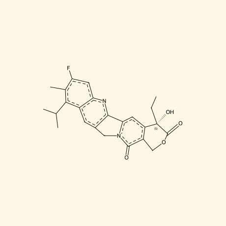 CC[C@@]1(O)C(=O)OCc2c1cc1n(c2=O)Cc2cc3c(C(C)C)c(C)c(F)cc3nc2-1